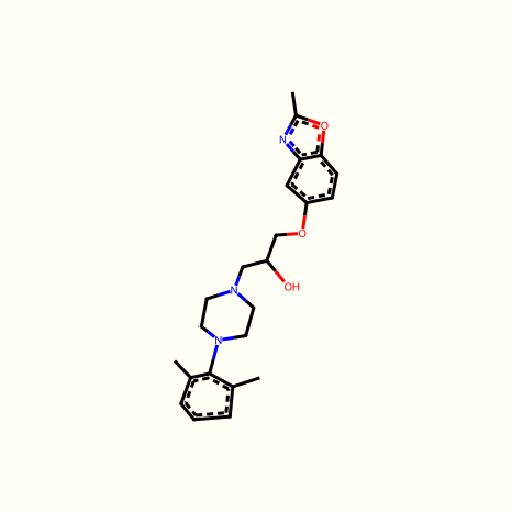 Cc1nc2cc(OCC(O)CN3C[CH]N(c4c(C)cccc4C)CC3)ccc2o1